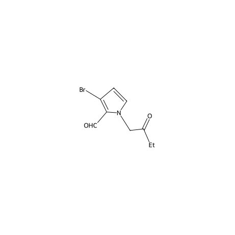 CCC(=O)Cn1ccc(Br)c1C=O